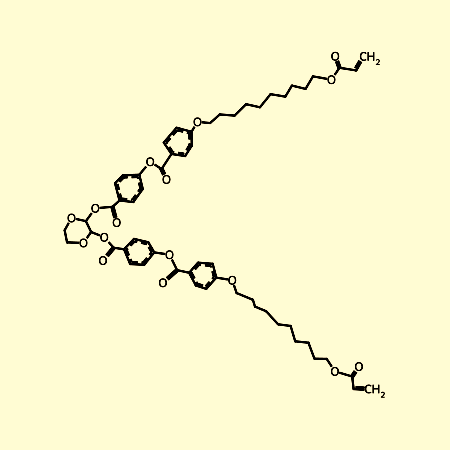 C=CC(=O)OCCCCCCCCCCOc1ccc(C(=O)Oc2ccc(C(=O)OC3OCCOC3OC(=O)c3ccc(OC(=O)c4ccc(OCCCCCCCCCCOC(=O)C=C)cc4)cc3)cc2)cc1